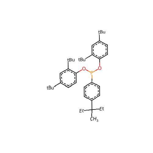 CCC(C)(CC)c1ccc(P(Oc2ccc(C(C)(C)C)cc2C(C)(C)C)Oc2ccc(C(C)(C)C)cc2C(C)(C)C)cc1